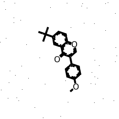 COc1ccc(-c2coc3ccc(C(C)(C)C)cc3c2=O)cc1